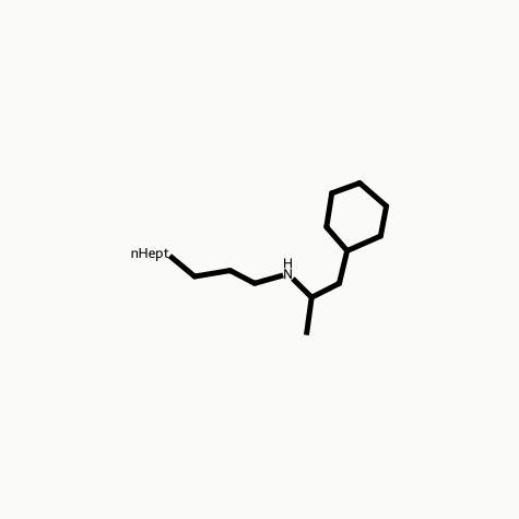 CCCCCCCCCCNC(C)CC1CCCCC1